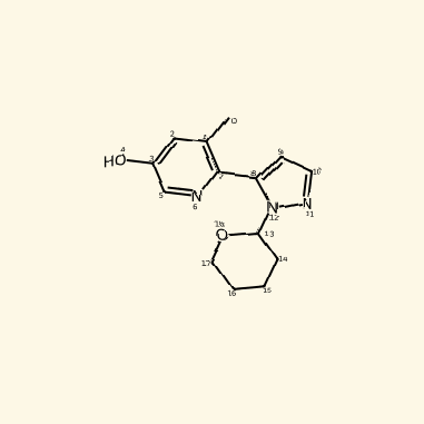 Cc1cc(O)cnc1-c1ccnn1C1CCCCO1